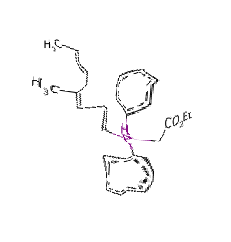 C\C=C/C(C)=C\C=C\[PH](CC(=O)OCC)(c1ccccc1)c1ccccc1